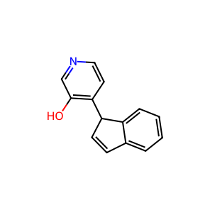 Oc1cnccc1C1C=Cc2ccccc21